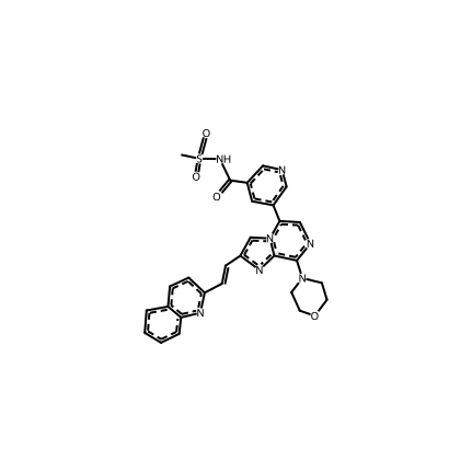 CS(=O)(=O)NC(=O)c1cncc(-c2cnc(N3CCOCC3)c3nc(/C=C/c4ccc5ccccc5n4)cn23)c1